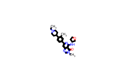 CCN1CCC(c2ccc(-c3cc4ncn(C)c(=O)c4c(N[C@@H]4CCOC4)n3)cc2C)CC1